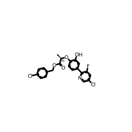 C[C@@H](Oc1ccc(-c2ncc(Cl)cc2F)cc1O)C(=O)OCc1ccc(Cl)cc1